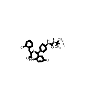 CC(C)(C)NC(=O)Nc1ccc(C2=NC(Cc3ccccc3Cl)C(=O)Nc3ccc(Cl)cc32)cc1